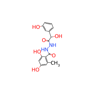 Cc1cc(O)cc(O)c1C(=O)NNC(=O)C(O)c1cccc(O)c1